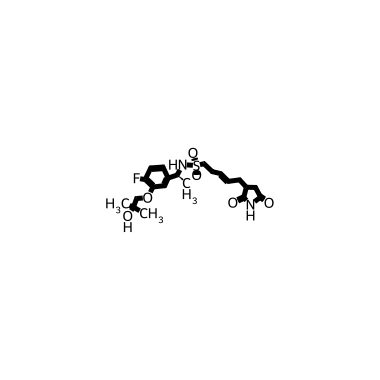 C[C@@H](NS(=O)(=O)CC/C=C/CC1CC(=O)NC1=O)c1ccc(F)c(OCC(C)(C)O)c1